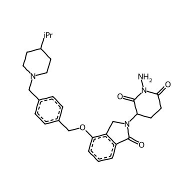 CC(C)C1CCN(Cc2ccc(COc3cccc4c3CN(C3CCC(=O)N(N)C3=O)C4=O)cc2)CC1